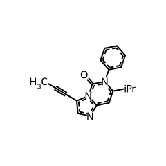 CC#Cc1cnc2cc(C(C)C)n(-c3ccccc3)c(=O)n12